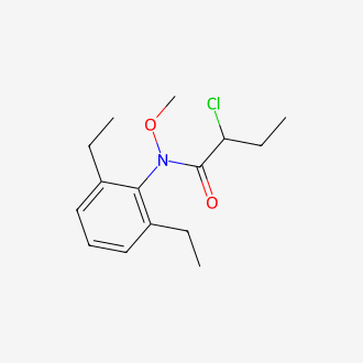 CCc1cccc(CC)c1N(OC)C(=O)C(Cl)CC